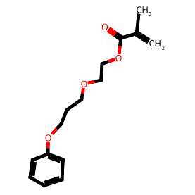 C=C(C)C(=O)OCCOCCCOc1cc[c]cc1